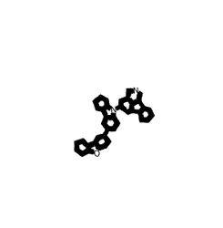 c1ccc2c(c1)-c1cncc3cc(-n4c5ccccc5c5cc(-c6ccc7oc8ccccc8c7c6)ccc54)cc-2c13